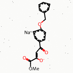 COC(=O)C([O-])=CC(=O)c1ccc(OCc2ccccc2)cc1.[Na+]